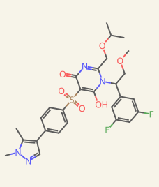 COCC(c1cc(F)cc(F)c1)n1c(COC(C)C)nc(=O)c(S(=O)(=O)c2ccc(-c3cnn(C)c3C)cc2)c1O